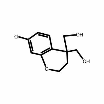 OCC1(CO)CCOc2cc(Cl)ccc21